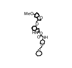 COc1ccc2occ(COc3cccc4[nH]c(OC(=O)NC5CCN(CCN6CCCCCC6)CC5)cc34)c2c1